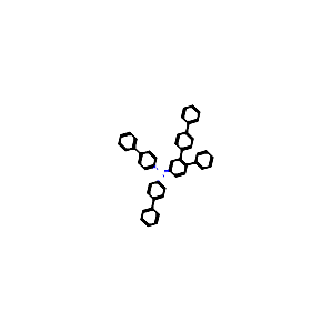 c1ccc(-c2ccc(-c3cc(N(c4ccc(-c5ccccc5)cc4)c4ccc(-c5ccccc5)cc4)ccc3-c3ccccc3)cc2)cc1